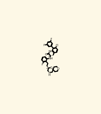 NC(=O)[C@H](Cc1ccc(Cl)c(-c2cc(F)cc(F)c2)c1)Nc1cccc(F)c1CC[C@@H]1CNCC2(CCOCC2)O1